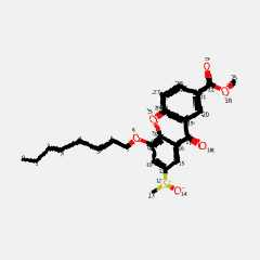 CCCCCCCCOc1cc([S+](C)[O-])cc2c(=O)c3cc(C(=O)OC)ccc3oc12